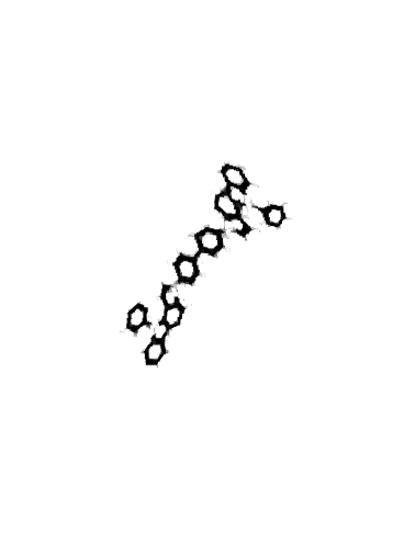 c1ccc(-n2c3ccccc3c3ccc4c(ccn4-c4ccc(-c5ccc(-n6ccc7c6ccc6c8ccccc8n(-c8ccccc8)c67)cc5)cc4)c32)cc1